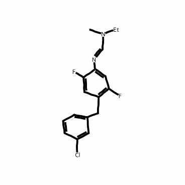 CCN(C)C=Nc1cc(F)c(Cc2cccc(Cl)c2)cc1F